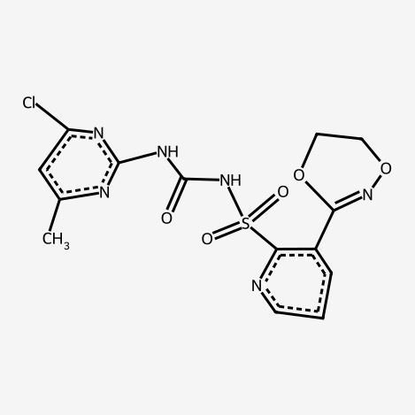 Cc1cc(Cl)nc(NC(=O)NS(=O)(=O)c2ncccc2C2=NOCCO2)n1